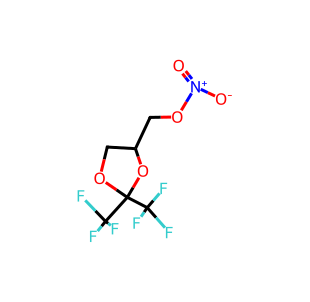 O=[N+]([O-])OCC1COC(C(F)(F)F)(C(F)(F)F)O1